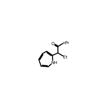 CCCC(=O)C(CC)C1=CC=CC=CN1